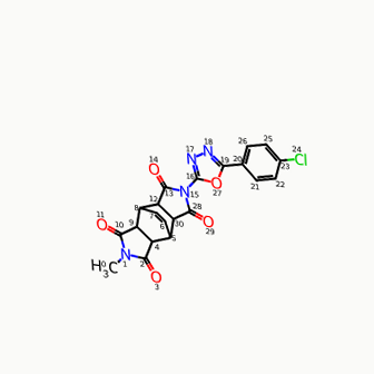 CN1C(=O)C2C3C=CC(C2C1=O)C1C(=O)N(c2nnc(-c4ccc(Cl)cc4)o2)C(=O)C31